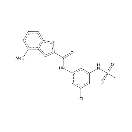 COc1cccc2sc(C(=O)Nc3cc(Cl)cc(NS(C)(=O)=O)c3)cc12